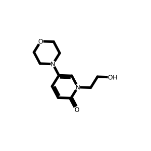 O=c1ccc(N2CCOCC2)cn1CCO